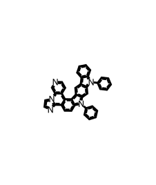 c1ccc(-n2c3ccccc3c3cc4c5c6c7ccncc7n7ccnc7c6ccc5n(-c5ccccc5)c4cc32)cc1